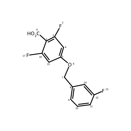 O=C(O)c1c(F)cc(OCc2cccc(F)c2)cc1F